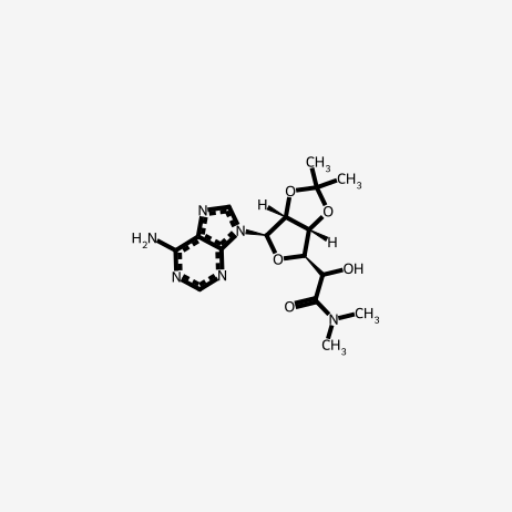 CN(C)C(=O)C(O)[C@H]1O[C@@H](n2cnc3c(N)ncnc32)[C@@H]2OC(C)(C)O[C@@H]21